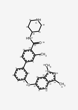 Cc1cc(-c2cccc(Oc3cnc4c(C)nn(C)c4c3)c2)ccc1C(=O)NC1CCNCC1